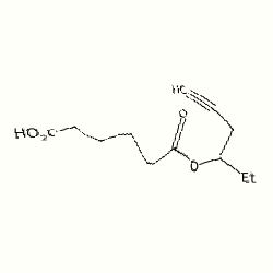 C#CCC(CC)OC(=O)CCCCC(=O)O